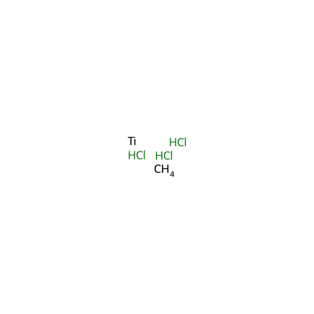 C.Cl.Cl.Cl.[Ti]